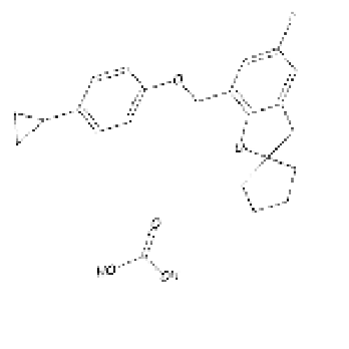 Fc1cc(COc2ccc(C3CC3)cc2)c2c(c1)CC1(CCCC1)O2.O=C(O)O